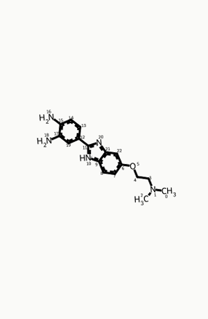 CN(C)CCOc1ccc2[nH]c(-c3ccc(N)c(N)c3)nc2c1